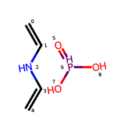 C=CNC=C.O=[PH](O)O